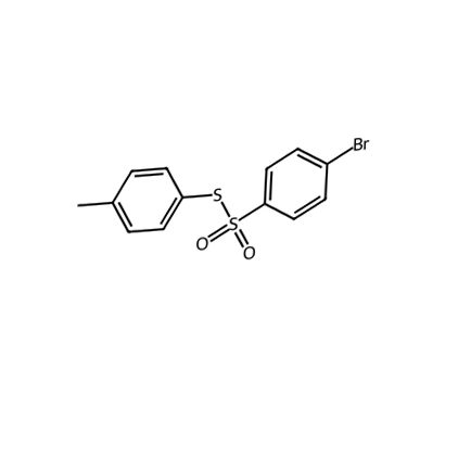 Cc1ccc(SS(=O)(=O)c2ccc(Br)cc2)cc1